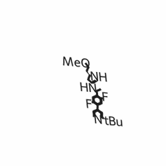 COCC[C@@H]1CC(NC(C)c2cc(F)c(-c3ccnc(C(C)(C)C)c3)cc2F)=CN1